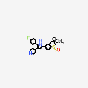 CC1(C)Cc2cc(-c3cc(-c4ccncc4)c(-c4ccc(F)cc4)[nH]3)ccc2S(=S=O)C1